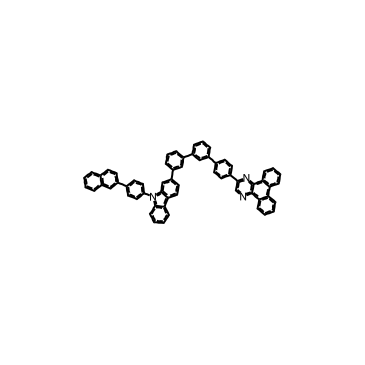 c1cc(-c2ccc(-c3cnc4c5ccccc5c5ccccc5c4n3)cc2)cc(-c2cccc(-c3ccc4c5ccccc5n(-c5ccc(-c6ccc7ccccc7c6)cc5)c4c3)c2)c1